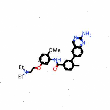 CCN(CC)CCOc1ccc(OC)c(NC(=O)c2ccc(C)c(-c3ccc4nc(N)ncc4c3)c2)c1